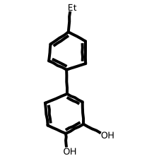 CCc1ccc(-c2ccc(O)c(O)c2)cc1